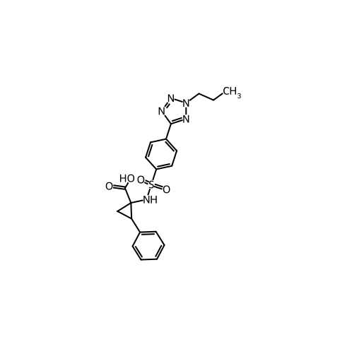 CCCn1nnc(-c2ccc(S(=O)(=O)NC3(C(=O)O)CC3c3ccccc3)cc2)n1